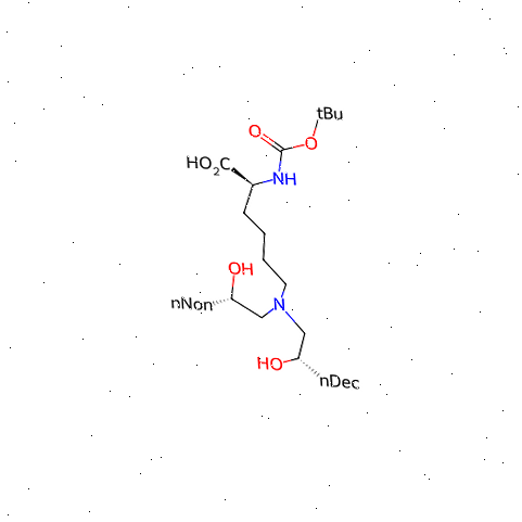 CCCCCCCCCC[C@H](O)CN(CCCC[C@H](NC(=O)OC(C)(C)C)C(=O)O)C[C@@H](O)CCCCCCCCC